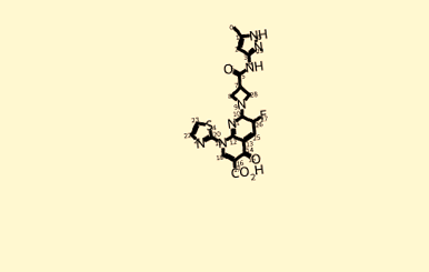 Cc1cc(NC(=O)C2CN(C3N=c4c(c(=O)c(C(=O)O)cn4-c4nccs4)=CC3F)C2)n[nH]1